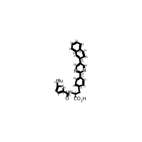 CC(C)(C)c1ccc(C(=O)N[C@@H](Cc2ccc(-c3ncc(-c4ccc5ccccc5c4)cn3)cc2)C(=O)O)s1